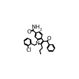 CCCc1c(C(=O)c2ccccc2)c2ccc(C(N)=O)cc2n1Cc1ccccc1Cl